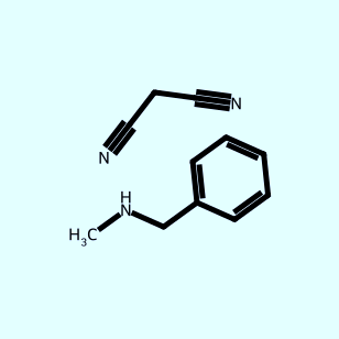 CNCc1ccccc1.N#CCC#N